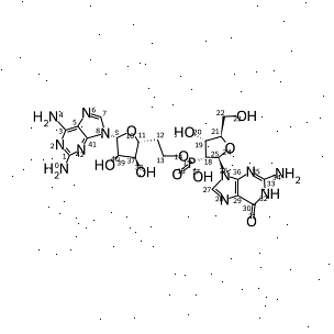 Nc1nc(N)c2ncn([C@@H]3O[C@H](CCOP(=O)(O)[C@@H]4[C@H](O)[C@@H](CO)O[C@H]4n4cnc5c(=O)[nH]c(N)nc54)[C@@H](O)[C@H]3O)c2n1